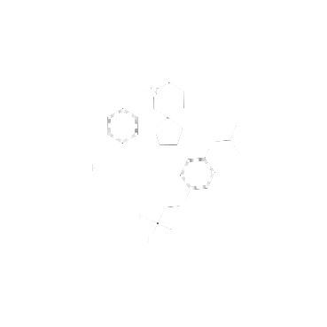 CC(C)Oc1ccc(OCC(F)(F)F)cc1[C@@H]1CO[C@]2(CCCN[C@H]2c2ccccc2)C1.Cl